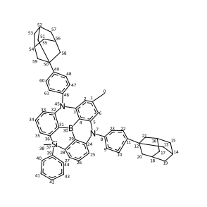 Cc1cc2c3c(c1)N(c1ccc(C45CC6CC(CC(C6)C4)C5)cc1)c1cccc4c1B3c1c(cccc1[Si]4(C)c1ccccc1)N2c1ccc(C23CC4CC(CC(C4)C2)C3)cc1